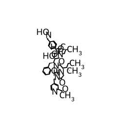 CC[C@H](C)[C@@H](C(=O)N[C@@H](Cc1ccccc1)[C@@H](O)CN(CC(C)C)S(=O)(=O)c1ccc(C=NO)cc1)N1CC(=O)N(Cc2ccnc(C(C)=O)c2)C1=O